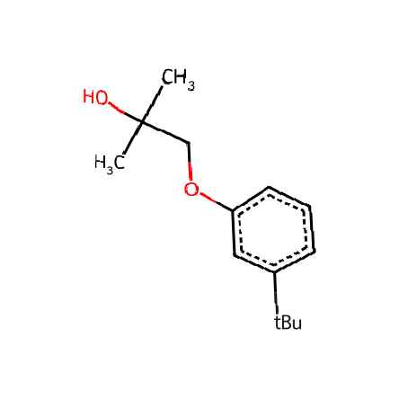 CC(C)(O)COc1cccc(C(C)(C)C)c1